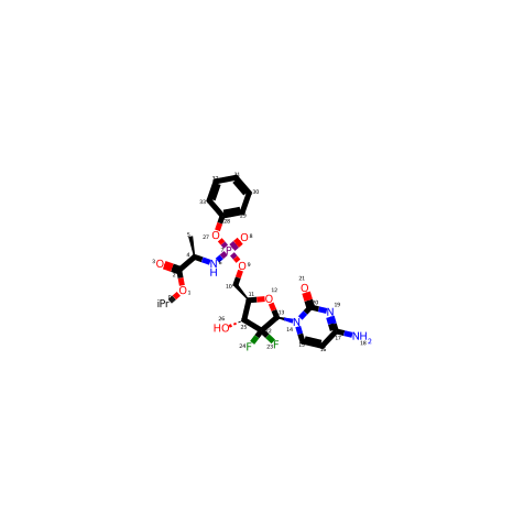 CC(C)OC(=O)[C@@H](C)NP(=O)(OC[C@H]1O[C@@H](n2ccc(N)nc2=O)C(F)(F)[C@@H]1O)Oc1ccccc1